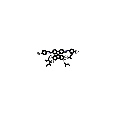 CCC(C)COc1cc2c(cc1OCC(C)CC)C1(c3cc(/C=C/c4ccc(Br)cc4)ccc3-c3ccc(/C=C/c4ccc(Br)cc4)cc31)c1cc3c(cc1-2)OC(C(C)CC)C(CC)CO3